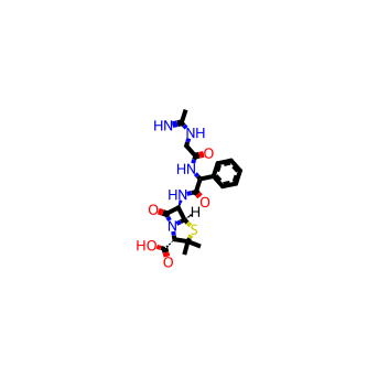 CC(=N)NCC(=O)NC(C(=O)N[C@@H]1C(=O)N2[C@@H]1SC(C)(C)[C@@H]2C(=O)O)c1ccccc1